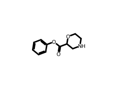 O=C(Oc1ccccc1)C1CNCCO1